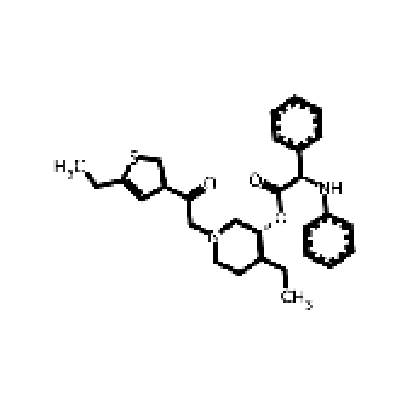 CCC1=CC(C(=O)CN2CCC(CC)[C@@H](OC(=O)[C@H](Nc3ccccc3)c3ccccc3)C2)CS1